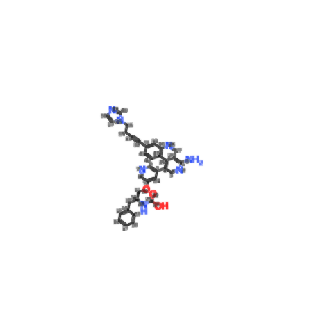 Nc1ncc(-c2cncc(OC[C@H](Cc3ccccc3)NC(=O)O)c2)c2c1cnc1cc(C#CCCn3ccnc3)ccc12